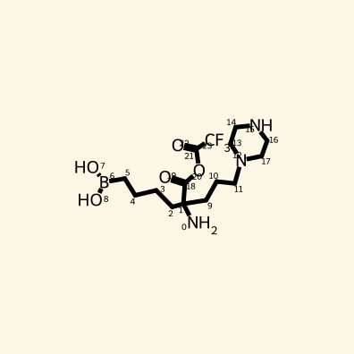 NC(CCCCB(O)O)(CCCN1CCNCC1)C(=O)OC(=O)C(F)(F)F